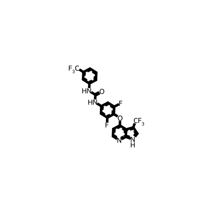 O=C(Nc1cccc(C(F)(F)F)c1)Nc1cc(F)c(Oc2ccnc3[nH]cc(C(F)(F)F)c23)c(F)c1